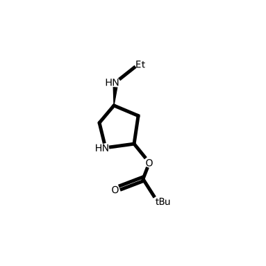 CCN[C@@H]1CNC(OC(=O)C(C)(C)C)C1